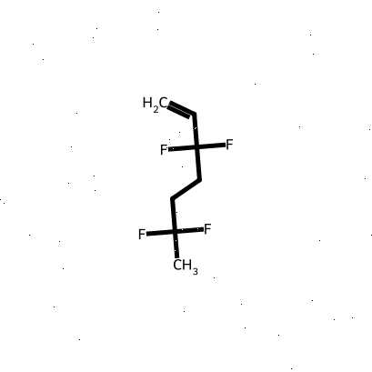 C=CC(F)(F)CCC(C)(F)F